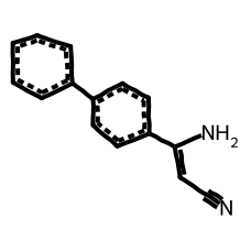 N#C/C=C(\N)c1ccc(-c2ccccc2)cc1